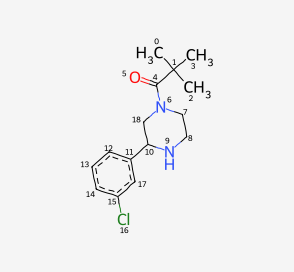 CC(C)(C)C(=O)N1CCNC(c2cccc(Cl)c2)C1